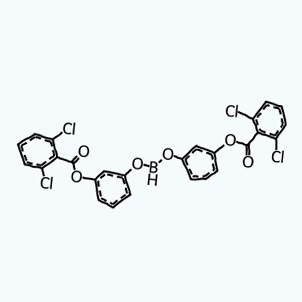 O=C(Oc1cccc(OBOc2cccc(OC(=O)c3c(Cl)cccc3Cl)c2)c1)c1c(Cl)cccc1Cl